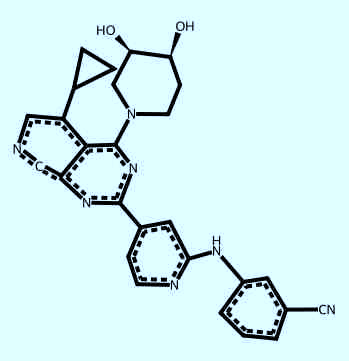 N#Cc1cccc(Nc2cc(-c3nc(N4CC[C@H](O)[C@H](O)C4)c4c(C5CC5)cncc4n3)ccn2)c1